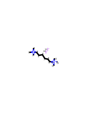 C[N+](C)(C)CCCCCC[N+](C)(C)C.[I-].[I-]